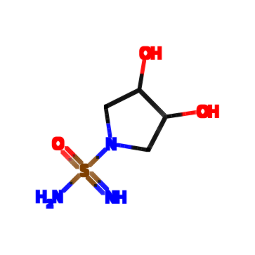 N=S(N)(=O)N1CC(O)C(O)C1